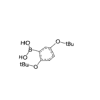 CC(C)(C)Oc1ccc(OC(C)(C)C)c(B(O)O)c1